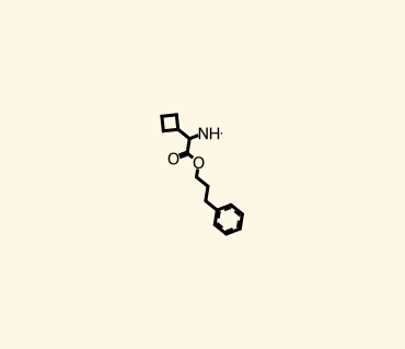 [NH]C(C(=O)OCCCc1ccccc1)C1CCC1